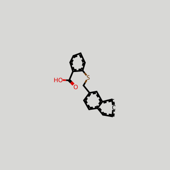 O=C(O)c1ccccc1SCc1ccc2ccccc2c1